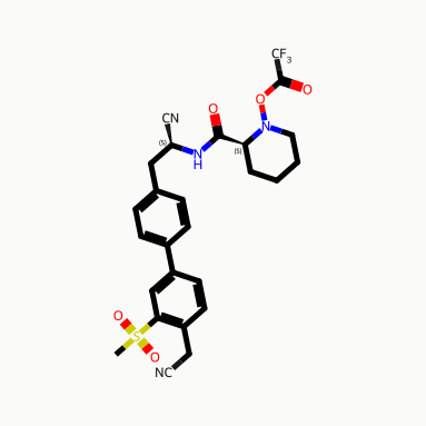 CS(=O)(=O)c1cc(-c2ccc(C[C@@H](C#N)NC(=O)[C@@H]3CCCCN3OC(=O)C(F)(F)F)cc2)ccc1CC#N